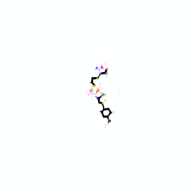 CC(C)Cc1ccc(-c2cc(NS(=O)(=O)c3ccc(-c4nocc4C(F)(F)F)s3)c(C(=O)O)s2)cc1